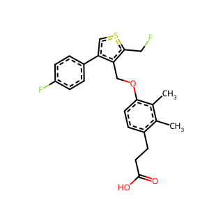 Cc1c(CCC(=O)O)ccc(OCc2c(-c3ccc(F)cc3)csc2CF)c1C